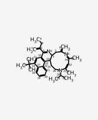 C=C1CC2N=C(C(=C)CC)c3cc(C(C)(C)C)c4ccccc4c3C2CCN(C(C)C)/C(C)=C\C(C)=N/1